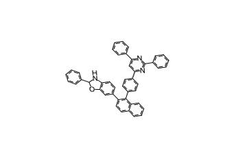 c1ccc(-c2cc(-c3ccc(-c4c(-c5ccc6c(c5)OC(c5ccccc5)N6)ccc5ccccc45)cc3)nc(-c3ccccc3)n2)cc1